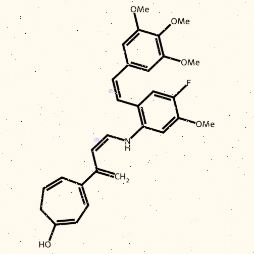 C=C(/C=C\Nc1cc(OC)c(F)cc1/C=C\c1cc(OC)c(OC)c(OC)c1)C1=CC=C(O)CC=C1